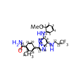 COc1ccccc1Nc1cc(NCCC(F)(F)F)c2ncc(-c3ccc(C(N)=O)c(C)c3)n2n1